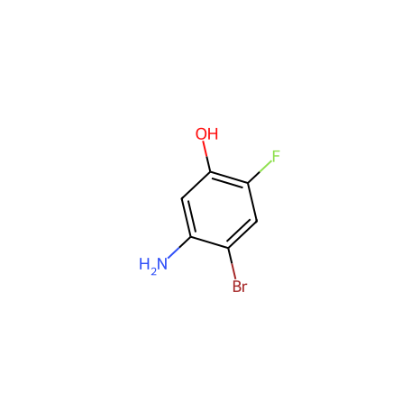 Nc1cc(O)c(F)cc1Br